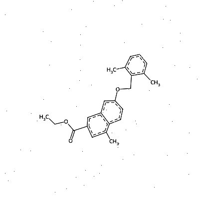 CCOC(=O)c1cc(C)c2ccc(OCc3c(C)cccc3C)cc2c1